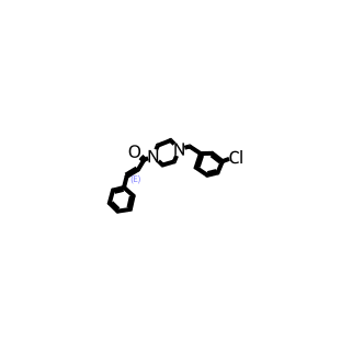 O=C(/C=C/c1ccccc1)N1CCN(Cc2cccc(Cl)c2)CC1